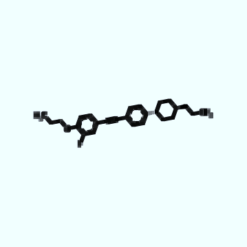 CCCOc1ccc(C#Cc2ccc([C@H]3CC[C@H](CCC)CC3)cc2)cc1F